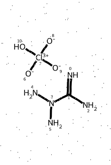 N=C(N)N(N)N.[O-][Cl+3]([O-])([O-])O